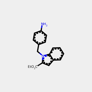 CCOC(=O)c1cc2ccccc2n1Cc1ccc(N)cc1